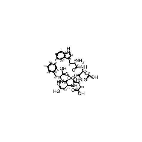 N[C@@H](Cc1c[nH]c2ccccc12)C(=O)N[C@@H](CC(=O)O)C(=O)N[C@@H](CC(=O)O)C(=O)N[C@@H](CC(=O)O)C(=O)N[C@@H](Cc1ccccc1)C(=O)O